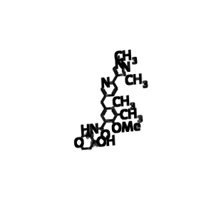 COc1c(C(=O)N[C@H]2COCC[C@@H]2O)cc(Cc2ccc(-c3cn(C)nc3C)nc2)c(C)c1C